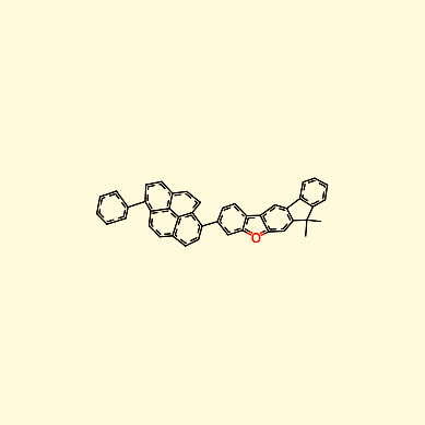 CC1(C)c2ccccc2-c2cc3c(cc21)oc1cc(-c2ccc4ccc5c(-c6ccccc6)ccc6ccc2c4c65)ccc13